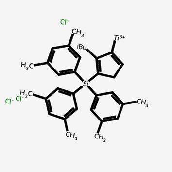 CCC(C)C1=C([Si](c2cc(C)cc(C)c2)(c2cc(C)cc(C)c2)c2cc(C)cc(C)c2)CC=[C]1[Ti+3].[Cl-].[Cl-].[Cl-]